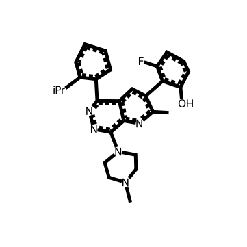 Cc1nc2c(N3CCN(C)CC3)nnc(-c3ccccc3C(C)C)c2cc1-c1c(O)cccc1F